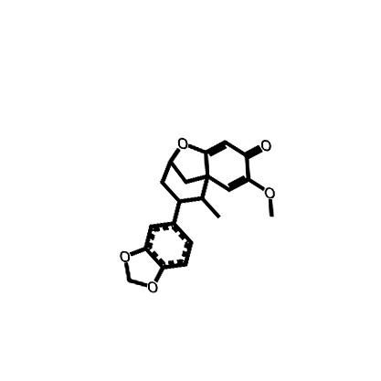 COC1=CC23CC(CC(c4ccc5c(c4)OCO5)C2C)OC3=CC1=O